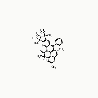 Cc1cc2c3c4c(c(C)cc3c1)B(c1ccccc1)c1nc3c(nc1N4C(=O)C2(C)C)C(C)(C)C(C)(C)C3(C)C